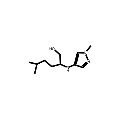 CC(C)CCC(CO)Nc1cnn(C)c1